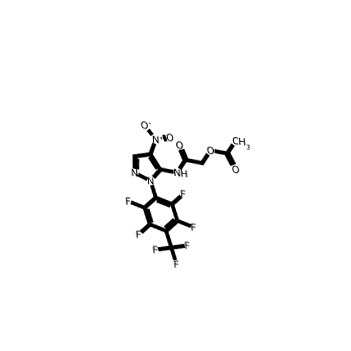 CC(=O)OCC(=O)Nc1c([N+](=O)[O-])cnn1-c1c(F)c(F)c(C(F)(F)F)c(F)c1F